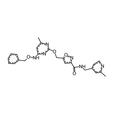 Cc1cc(CNC(=O)c2cc(COc3nc(C)cc(NOCc4ccccc4)n3)on2)ccn1